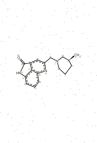 C[C@H]1CCCN(Cc2cc3c4c(cccc4n2)NC3=O)C1